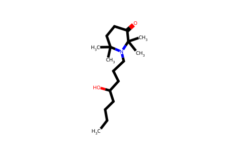 CCCCC(O)CCCN1C(C)(C)CCC(=O)C1(C)C